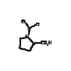 CCN(CC)[C@@H]1CCCN1C(=O)O